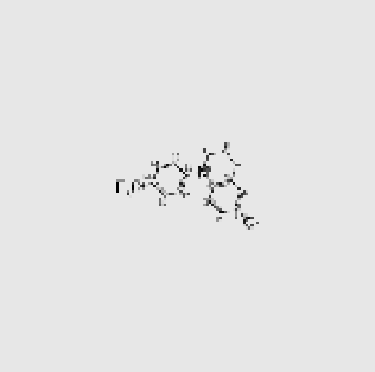 [O]c1ccc2c(c1)CCCN2c1ccc(C(F)(F)F)cc1